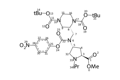 COC(=O)[C@@H]1C[C@@H](N(C[C@@H]2CN(C(=O)OC(C)(C)C)CCN2C(=O)OC(C)(C)C)C(=O)Oc2ccc([N+](=O)[O-])cc2)CN1C(C)C